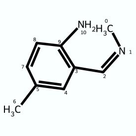 C/N=C\c1cc(C)ccc1N